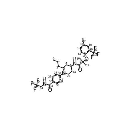 CCCC1CC(NC(=O)C(C)(C)Oc2ccc(F)cc2C(F)(F)F)CCN1c1ccc(C(=O)NCC(F)(F)F)cn1